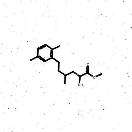 COC(=O)C(N)CC(C)CCc1cc(C)ccc1C